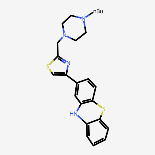 CCCCN1CCN(Cc2nc(-c3ccc4c(c3)Nc3ccccc3S4)cs2)CC1